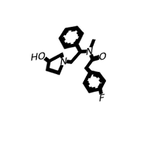 CN(C(=O)Cc1ccc(F)cc1)C(CN1CCC(O)C1)c1ccccc1